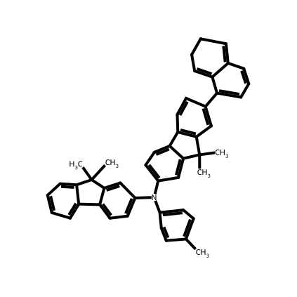 Cc1ccc(N(c2ccc3c(c2)C(C)(C)c2ccccc2-3)c2ccc3c(c2)C(C)(C)c2cc(-c4cccc5c4=CCCC=5)ccc2-3)cc1